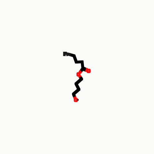 CC(C)CCCC(=O)OCCCC[O]